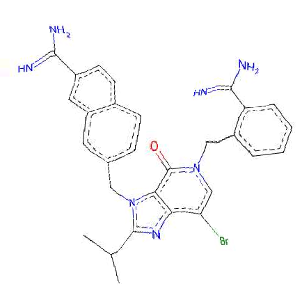 CC(C)c1nc2c(Br)cn(Cc3ccccc3C(=N)N)c(=O)c2n1Cc1ccc2ccc(C(=N)N)cc2c1